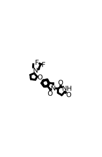 CCN(CC(F)F)[C@H]1CCC[C@H]1Oc1ccc2c(c1)CN(C1CCC(=O)NC1=O)C2=O